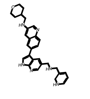 C1=CNCC(CNCc2cnc3[nH]cc(-c4ccc5ncc(NCC6CCOCC6)cc5c4)c3c2)=C1